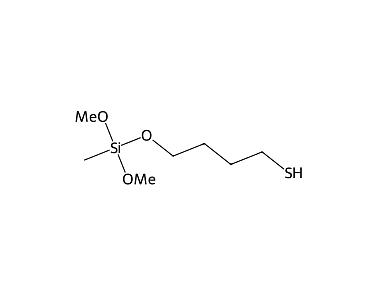 CO[Si](C)(OC)OCCCCS